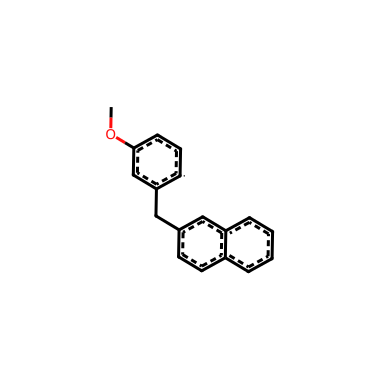 COc1cc[c]c(Cc2ccc3ccccc3c2)c1